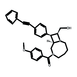 COc1ccc(C(=O)N2CCCCN3[C@H](CO)[C@H](c4ccc(C#Cc5ccccc5)cc4)[C@@H]3C2)cc1